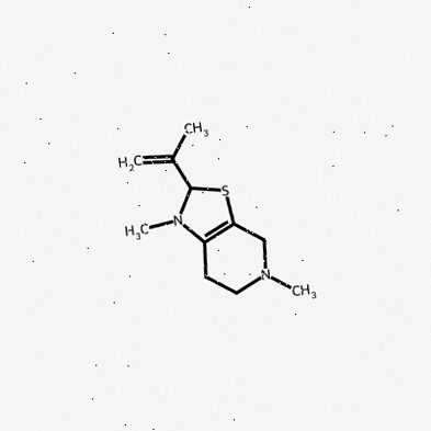 C=C(C)C1SC2=C(CCN(C)C2)N1C